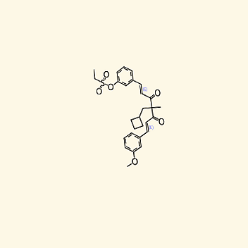 CCS(=O)(=O)Oc1cccc(/C=C/C(=O)C(C)(CC2CCC2)C(=O)/C=C/c2cccc(OC)c2)c1